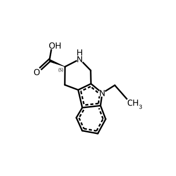 CCn1c2c(c3ccccc31)C[C@@H](C(=O)O)NC2